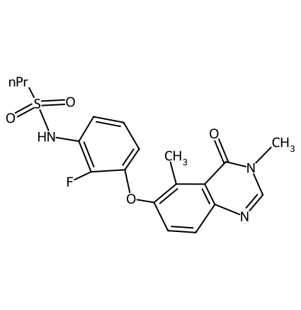 CCCS(=O)(=O)Nc1cccc(Oc2ccc3ncn(C)c(=O)c3c2C)c1F